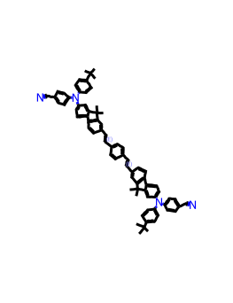 CC(C)(C)c1ccc(N(c2ccc(C#N)cc2)c2ccc3c(c2)C(C)(C)c2cc(/C=C/c4ccc(/C=C/c5ccc6c(c5)C(C)(C)c5cc(N(c7ccc(C#N)cc7)c7ccc(C(C)(C)C)cc7)ccc5-6)cc4)ccc2-3)cc1